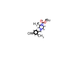 Cc1cc(N=O)ccc1CN1CCN(C(=O)OC(C)(C)C)[C@@H](C)C1